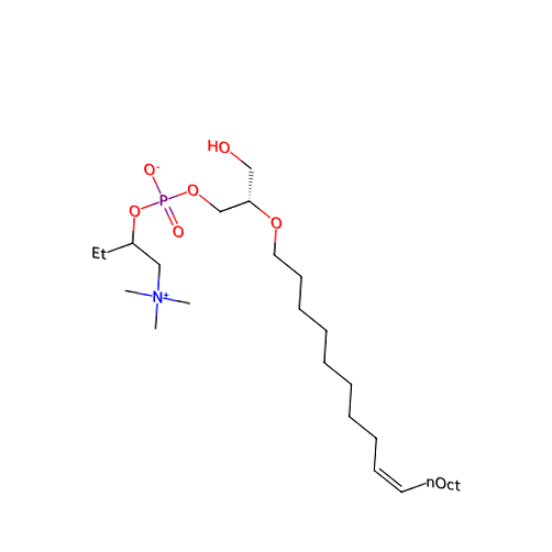 CCCCCCCC/C=C\CCCCCCCCO[C@@H](CO)COP(=O)([O-])OC(CC)C[N+](C)(C)C